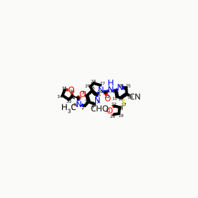 CN(Cc1cc2c(nc1C=O)N(C(=O)Nc1cc(S[C@@H]3CCOC3)c(C#N)cn1)CCC2)C(=O)[C@H]1CCCO1